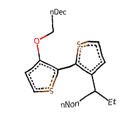 CCCCCCCCCCCOc1ccsc1-c1sccc1C(CC)CCCCCCCCC